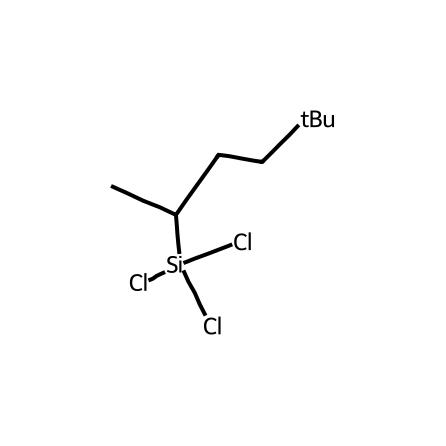 CC(CCC(C)(C)C)[Si](Cl)(Cl)Cl